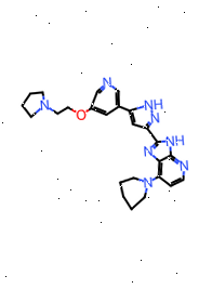 c1cc(N2CCCCC2)c2nc(-c3cc(-c4cncc(OCCN5CCCC5)c4)[nH]n3)[nH]c2n1